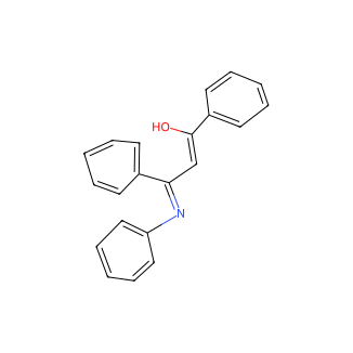 O/C(=C\C(=N\c1ccccc1)c1ccccc1)c1ccccc1